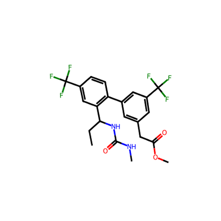 CCC(NC(=O)NC)c1cc(C(F)(F)F)ccc1-c1cc(CC(=O)OC)cc(C(F)(F)F)c1